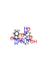 O=C1CCC(C2CNCCN2C(=O)O)C(=O)N1.O=C1NC(=O)c2ccccc21